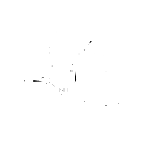 C1=C[C@@H]2Oc3cccc4c3[C@@]23CCN[C@H](C4)C3=C1